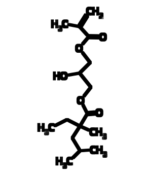 C=C(C)C(=O)OCC(O)COC(=O)C(C)(CC)CC(C)C